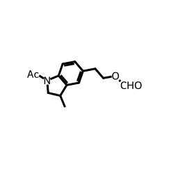 CC(=O)N1CC(C)c2cc(CCOC=O)ccc21